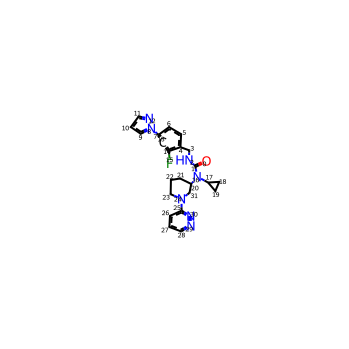 O=C(NCc1ccc(-n2cccn2)cc1F)N(C1CC1)[C@@H]1CCCN(c2cccnn2)C1